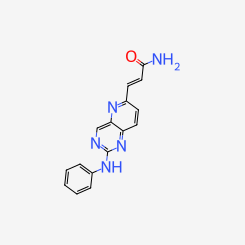 NC(=O)C=Cc1ccc2nc(Nc3ccccc3)ncc2n1